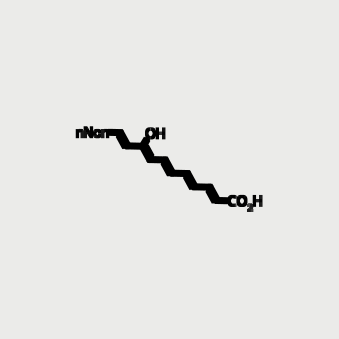 CCCCCCCCCC=CC(O)=CC=CC=CC=CC(=O)O